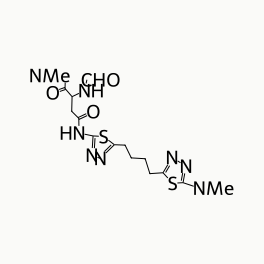 CNC(=O)C(CC(=O)Nc1nnc(CCCCc2nnc(NC)s2)s1)NC=O